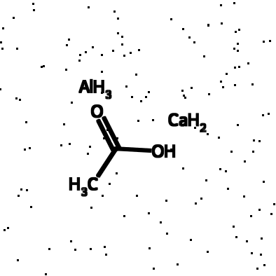 CC(=O)O.[AlH3].[CaH2]